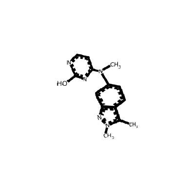 Cc1c2ccc(N(C)c3ccnc(O)n3)cc2nn1C